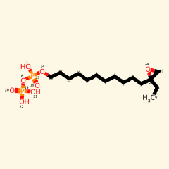 CCC1(CCCCCCCCCCCOP(=O)(O)OP(=O)(O)O)CO1